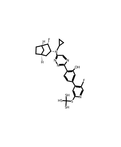 Oc1cc(-c2cc(SC(S)(S)S)ncc2F)ccc1-c1ncc(N(C2CC2)[C@@H]2C[C@H]3CC[C@H](C3)[C@@H]2F)nn1